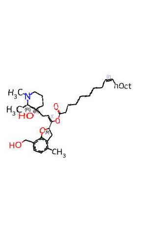 CCCCCCCC/C=C\CCCCCCCC(=O)O/C(=C/C[C@]1(O)CCCN(C)[C@@H]1C)[C@H]1Cc2c(C)ccc(CO)c2O1